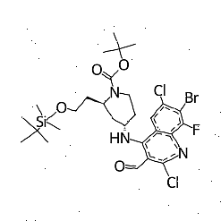 CC(C)(C)OC(=O)N1CC[C@H](Nc2c(C=O)c(Cl)nc3c(F)c(Br)c(Cl)cc23)C[C@H]1CCO[Si](C)(C)C(C)(C)C